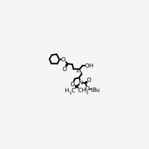 CC(C)(C)OC(=O)N1C(C[C@H](CO)CCC(=O)OC2CCCCC2)COC1(C)C